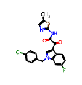 Cc1cnc(NC(=O)C(=O)c2cn(Cc3ccc(Cl)cc3)c3cc(F)ccc23)s1